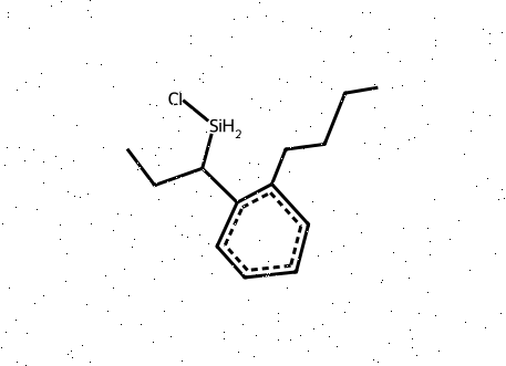 CCCCc1ccccc1C(CC)[SiH2]Cl